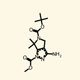 COC(=O)n1nc(N)c2c1C(C)(C)N(C(=O)OC(C)(C)C)C2